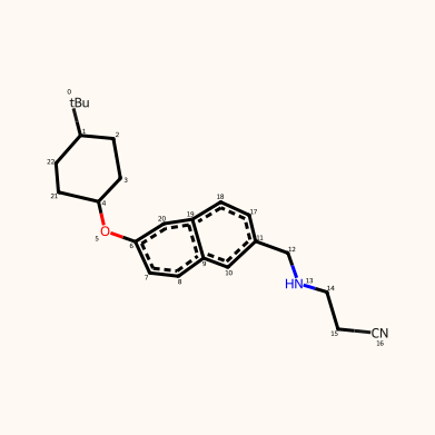 CC(C)(C)C1CCC(Oc2ccc3cc(CNCCC#N)ccc3c2)CC1